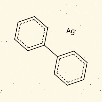 [Ag].c1ccc(-c2ccccc2)cc1